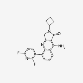 Nc1c2c(nc3c(-c4ccc(F)nc4F)cccc13)CN(C1CCC1)C2=O